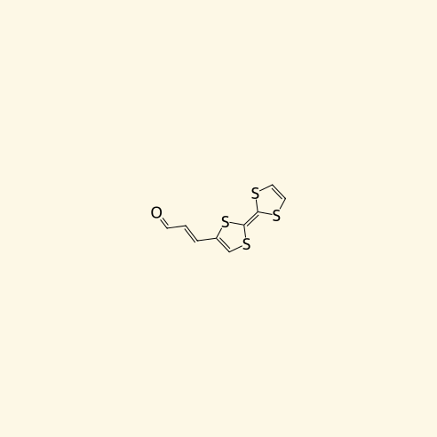 O=C/C=C/C1=CSC(=C2SC=CS2)S1